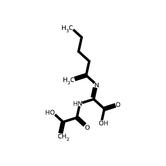 C=C(CCCC)/N=C(\NC(=O)C(=C)O)C(=O)O